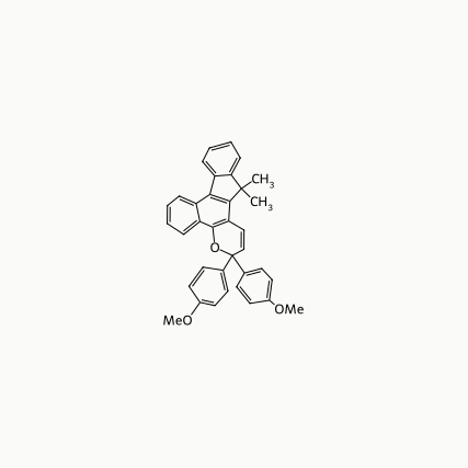 COc1ccc(C2(c3ccc(OC)cc3)C=Cc3c4c(c5ccccc5c3O2)-c2ccccc2C4(C)C)cc1